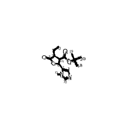 CCC1C(=O)OC(c2cncn2C)C1C(=O)OC(C)(C)C